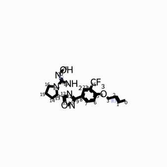 C/C=C/COc1ccc(-c2noc([C@@H]3CCCN3/C(N)=N/O)n2)cc1C(F)(F)F